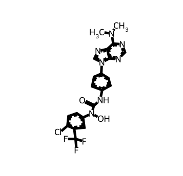 CN(C)c1ncnc2c1ncn2-c1ccc(NC(=O)N(O)c2ccc(Cl)c(C(F)(F)F)c2)cc1